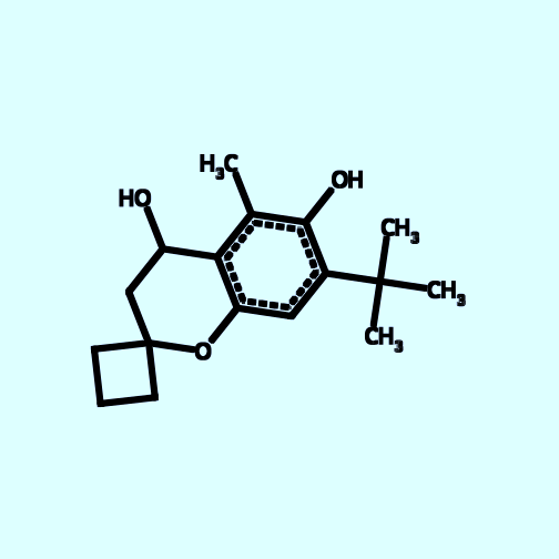 Cc1c(O)c(C(C)(C)C)cc2c1C(O)CC1(CCC1)O2